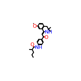 CCCC(C)C(=O)Nc1ccc(C(=O)C=C2NC(C)(C)Cc3ccc(OC)cc32)cc1